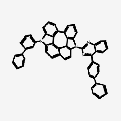 c1ccc(-c2ccc(-c3nc(-n4c5cccc6c5c5c7c(ccc8c7c7c-6cccc7n8-c6cccc(-c7ccccc7)c6)ccc54)nc4ccccc34)cc2)cc1